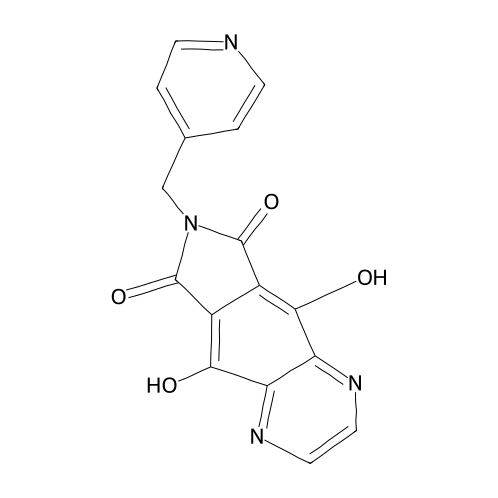 O=C1c2c(c(O)c3nccnc3c2O)C(=O)N1Cc1ccncc1